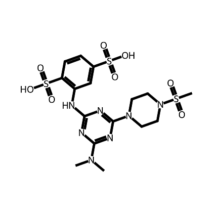 CN(C)c1nc(Nc2cc(S(=O)(=O)O)ccc2S(=O)(=O)O)nc(N2CCN(S(C)(=O)=O)CC2)n1